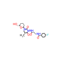 Cc1cn([C@H]2CCC[C@@H](CO)O2)c(=O)n(NC(=O)CCNC(=O)c2ccc(F)cc2)c1=O